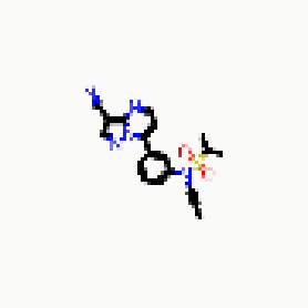 CC#CN(c1cccc(-c2ccnc3c(C#N)cnn23)c1)S(=O)(=O)C(C)C